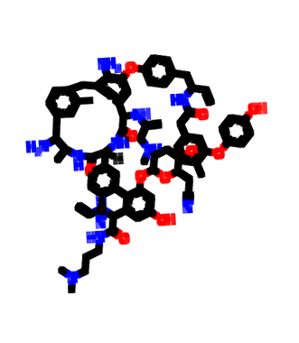 C=CNC(C(=O)NCCCN(C)C)c1cc(O)cc(OC2CCC(O)C(CC#N)O2)c1-c1cc([C@H]2NC(=O)C(NC(=C)CNC)c3cc(c(N)c(Oc4ccc(CC(C=C)NC(=O)Cc5ccc(C)c(Oc6ccc(O)cc6)c5)cc4)c3)Cc3ccc(cc3C)C(N)C(C)NC2=O)ccc1C#N